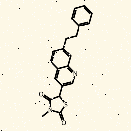 CN1C(=O)SC(c2cnc3cc(CCc4ccccc4)ccc3c2)C1=O